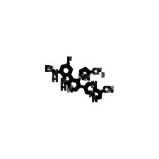 CCNc1cc(F)cc2c1[nH]c1ncc(-c3cnc4c(C#N)cnn4c3)c(-n3ccc(C(F)(F)F)n3)c12